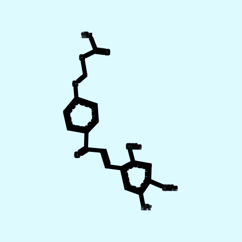 CCCc1cc(C=CC(=O)c2ccc(OCOC(=O)C(C)(C)C)cc2)c(OC)cc1OC